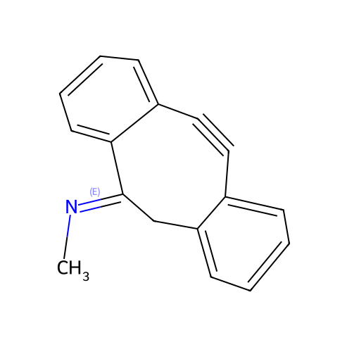 C/N=C1\Cc2ccccc2C#Cc2ccccc21